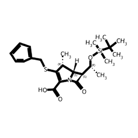 C[C@@H](O[Si](C)(C)C(C)(C)C)[C@H]1C(=O)N2C(C(=O)O)=C(SCc3ccccc3)[C@H](C)[C@H]12